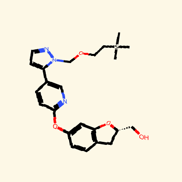 C[Si](C)(C)CCOCn1nccc1-c1ccc(Oc2ccc3c(c2)O[C@H](CO)C3)nc1